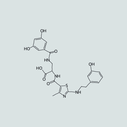 Cc1nc(NCCc2cccc(O)c2)sc1C(=O)NC(CNC(=O)c1cc(O)cc(O)c1)C(=O)O